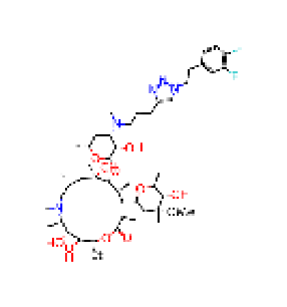 CC[C@H]1OC(=O)[C@H](C)[C@@H](C2C[C@@](C)(OC)[C@@H](O)[C@H](C)O2)[C@H](C)[C@@H](O[C@@H]2O[C@H](C)C[C@H](N(C)CCCc3cn(CCc4ccc(F)c(F)c4)nn3)[C@H]2O)[C@](C)(O)C[C@@H](C)CN(C)[C@H](C)[C@@H](O)[C@]1(C)O